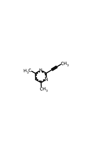 CC#Cc1nc(C)cc(C)n1